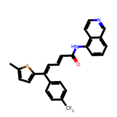 Cc1ccc(/C(=C/C=C/C(=O)Nc2cccc3cnccc23)c2ccc(C(F)(F)F)cc2)s1